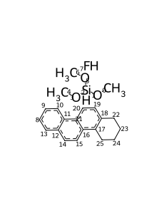 CO[SiH](OC)OC.F.c1ccc2c(c1)ccc1c3c(ccc12)CCCC3